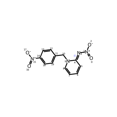 O=[N+]([O-])/N=c1\ccccn1Cc1ccc([N+](=O)[O-])cc1